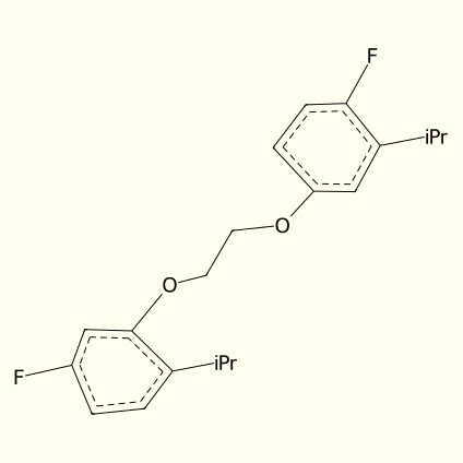 CC(C)c1cc(OCCOc2cc(F)ccc2C(C)C)ccc1F